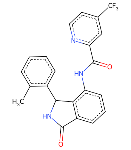 Cc1ccccc1C1NC(=O)c2cccc(NC(=O)c3cc(C(F)(F)F)ccn3)c21